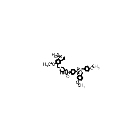 CCOc1cc(S(C)(=O)=O)c(C2CC2)cc1CN1CCC2(CC1)CN(c1ccc(S(=O)(=O)N(Cc3ccc(OC)cc3)Cc3ccc(OC)cc3)cc1)C(=O)N2